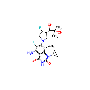 Cc1c(N2CC(F)C(C(O)C(C)(C)O)C2)c(F)c(N)c2c(=O)[nH]c(=O)n(C3CC3)c12